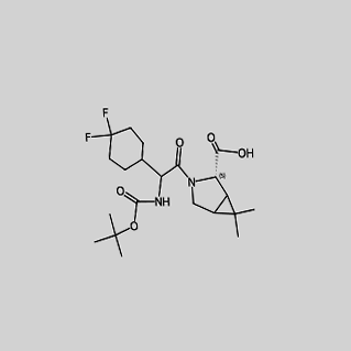 CC(C)(C)OC(=O)NC(C(=O)N1CC2C([C@H]1C(=O)O)C2(C)C)C1CCC(F)(F)CC1